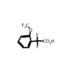 O=C(O)C(F)(F)c1ccccc1OC(F)(F)F